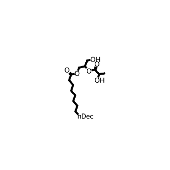 CCCCCCCCCCCCCCCCCC(=O)OCC(CO)OC(=O)C(C)O